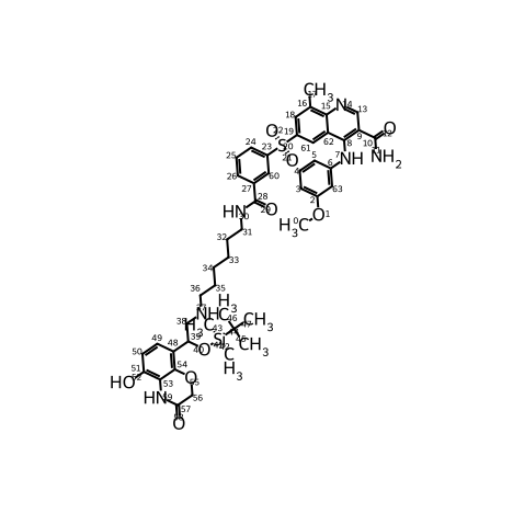 COc1cccc(Nc2c(C(N)=O)cnc3c(C)cc(S(=O)(=O)c4cccc(C(=O)NCCCCCCNCC(O[Si](C)(C)C(C)(C)C)c5ccc(O)c6c5OCC(=O)N6)c4)cc23)c1